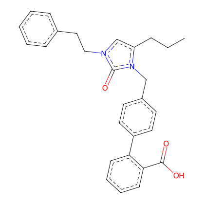 CCCc1cn(CCc2ccccc2)c(=O)n1Cc1ccc(-c2ccccc2C(=O)O)cc1